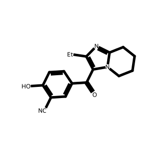 CCc1nc2n(c1C(=O)c1ccc(O)c(C#N)c1)CCCC2